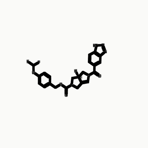 O=C(c1ccc2[nH]nnc2c1)N1C=C2CN(C(=O)OCc3ccc(OC(F)F)cc3)C[C@@H]2C1